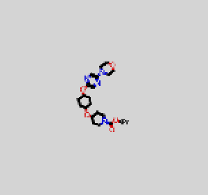 CC(C)OC(=O)N1CCC(OC2CCC(Oc3cnc(N4CCOCC4)cn3)CC2)CC1